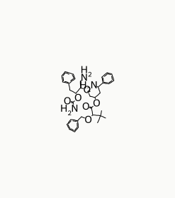 CC(C)(C)C(OCc1ccccc1)C(=O)OC(COC(CN)C(Cc1ccccc1)OC(N)=O)CC(N)c1ccccc1